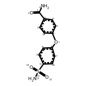 NC(=O)c1ccc(Oc2ccc(S(N)(=O)=O)cc2)cc1